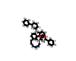 C1=C\Cc2ccc3c(c2N(c2cccc(-c4ccccc4)n2)C\C=C/1)c1ccccc1n3-c1cccc(-c2ccccc2)n1